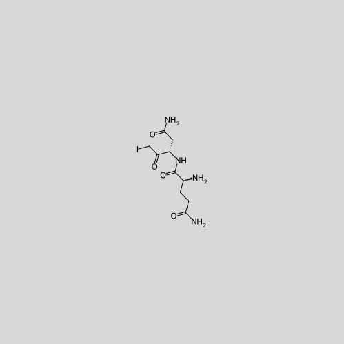 NC(=O)CC[C@H](N)C(=O)N[C@@H](CC(N)=O)C(=O)CI